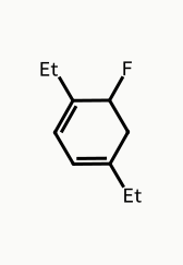 CCC1=CC=C(CC)C(F)C1